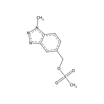 Cn1nnc2cc(COS(C)(=O)=O)ccc21